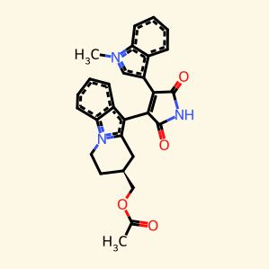 CC(=O)OC[C@H]1CCn2c(c(C3=C(c4cn(C)c5ccccc45)C(=O)NC3=O)c3ccccc32)C1